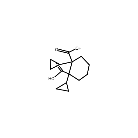 O=C(O)C1(C2CC2)CCCCC1(C(=O)O)C1CC1